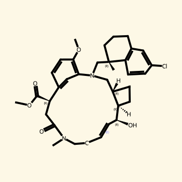 COC(=O)[C@@H]1CC(=O)N(C)CC/C=C/[C@H](O)[C@@H]2CC[C@H]2CN(C[C@]2(C)CCCc3cc(Cl)ccc32)c2cc1ccc2OC